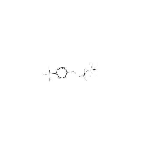 CC(=NP(=O)(O)O)SCc1ccc(C(F)(F)F)cc1